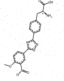 COc1ccc(-c2nc(-c3ccc(C[C@H](N)C(=O)O)cc3)no2)cc1[N+](=O)[O-]